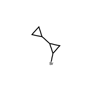 BrC1CC1C1CC1